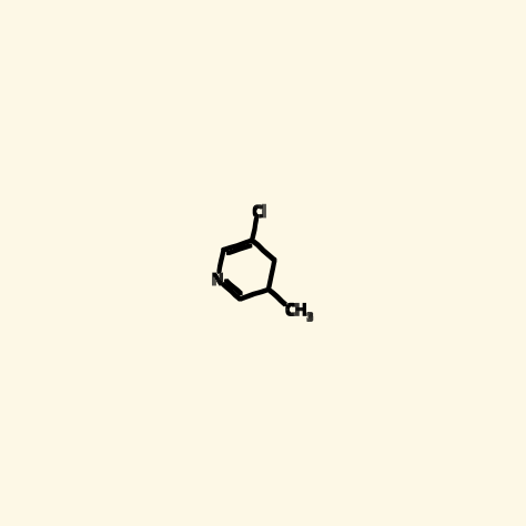 CC1C=NC=C(Cl)C1